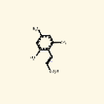 Cc1cc(C)c(/C=C/C(=O)O)c(C)c1